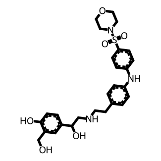 O=S(=O)(c1ccc(Nc2ccc(CCNCC(O)c3ccc(O)c(CO)c3)cc2)cc1)N1CCOCC1